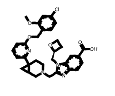 COc1cc(Cl)ccc1COc1cccc(C23CCN(Cc4nc5ccc(C(=O)O)cc5n4C[C@@H]4CCO4)CC2C3)n1